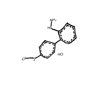 Cl.NNc1ccccc1-c1ccc(SCl)cc1